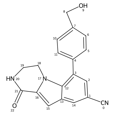 N#Cc1cc(-c2ccc(CO)cc2)c2c(c1)cc1n2CCNC1=O